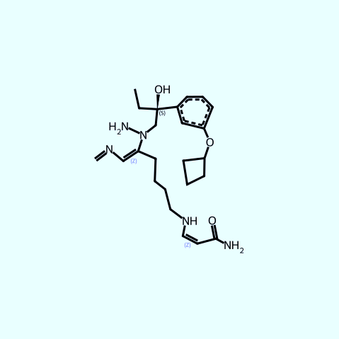 C=N/C=C(/CCCCN/C=C\C(N)=O)N(N)C[C@](O)(CC)c1cccc(OC2CCC2)c1